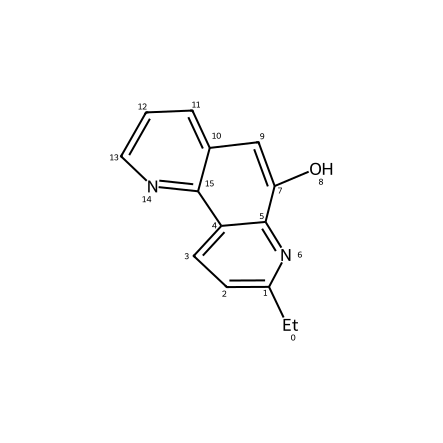 CCc1ccc2c(n1)c(O)cc1cccnc12